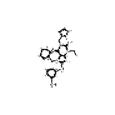 CCn1c(=O)n(Cc2ccno2)c(=O)c2c1nc(Oc1cccc(O)c1)n2Cc1ccccc1